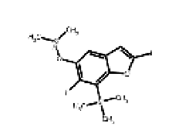 C[SiH](C)Oc1cc2cc(I)oc2c([Si](C)(C)C)c1F